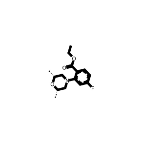 CCOC(=O)c1ccc(F)cc1N1C[C@@H](C)O[C@@H](C)C1